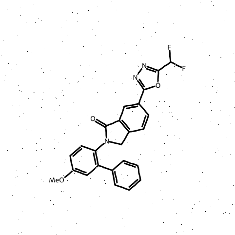 COc1ccc(N2Cc3ccc(-c4nnc(C(F)F)o4)cc3C2=O)c(-c2ccccc2)c1